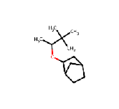 CC(OC1CC2CCC1C2)C(C)(C)C